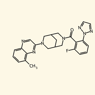 Cc1cccc2ncc(N3CC4CC(CN(C(=O)c5c(F)cccc5-n5nccn5)C4)C3)nc12